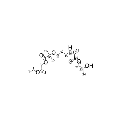 CCOC(C)COC(=O)C(C)(C)OCCCPC(C)C(=O)OCC(C)O